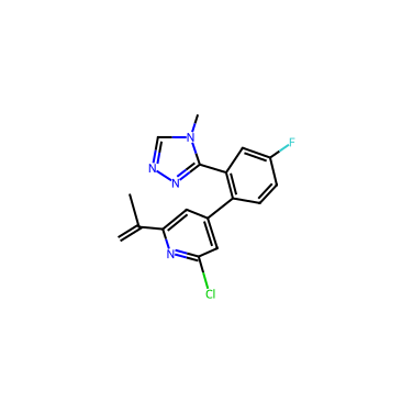 C=C(C)c1cc(-c2ccc(F)cc2-c2nncn2C)cc(Cl)n1